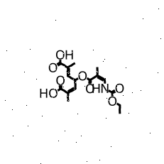 CCOC(=O)NC=C(C)C(=O)OC(C=C(C)C(=O)O)C=C(C)C(=O)O